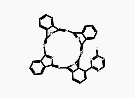 Clc1ncnc(-c2cccc3c4nc5nc(nc6[nH]c(nc7nc(nc([nH]4)c23)-c2ccccc2-7)c2ccccc62)-c2ccccc2-5)n1